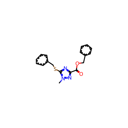 Cn1nc(C(=O)OCc2ccccc2)nc1SCc1ccccc1